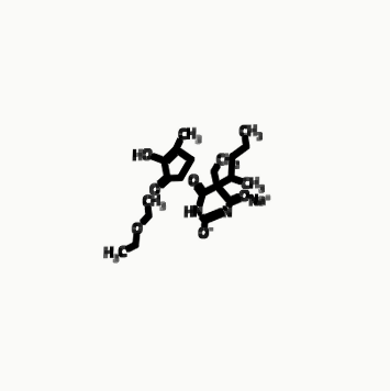 CC1=C(O)C(=O)CC1.CCCC(C)C1(CC)C(=O)N=C([O-])NC1=O.CCOCC.[Na+]